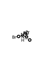 CCCN1C(=O)N2C[C@H](c3ccccc3)N=C2c2[nH]c(-c3ccc(Br)cc3)nc21